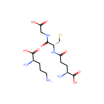 NCCC[C@@H](N)C(=O)O.N[C@@H](CCC(=O)N[C@@H](CS)C(=O)NCC(=O)O)C(=O)O